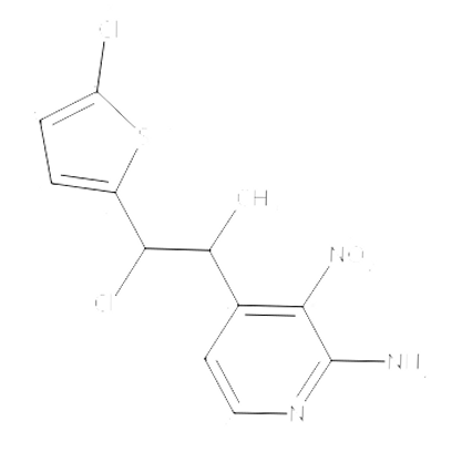 CC(c1ccnc(N)c1[N+](=O)[O-])C(Cl)c1ccc(Cl)s1